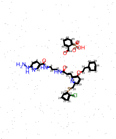 NNc1ccc(C(=O)NCCCNC(=O)C=Cc2nc(CSc3ccccc3Cl)ccc2OCCc2ccccc2)cn1.O=Cc1ccccc1S(=O)(=O)O